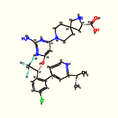 CC(C)c1cc(-c2cc(Cl)ccc2[C@@H](Oc2cc(N3CCC4(CC3)CN[C@H](C(=O)O)C4)nc(N)n2)C(F)(F)F)ccn1